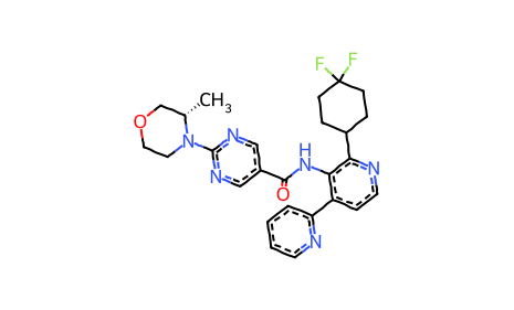 C[C@H]1COCCN1c1ncc(C(=O)Nc2c(-c3ccccn3)ccnc2C2CCC(F)(F)CC2)cn1